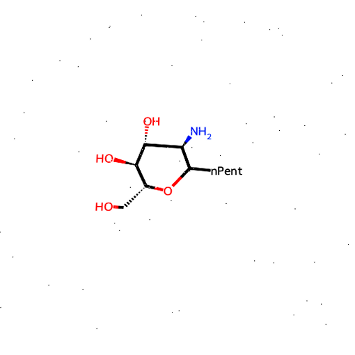 CCCCC[C]1O[C@H](CO)[C@@H](O)[C@H](O)[C@H]1N